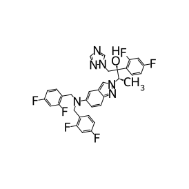 C[C@@H](n1cc2cc(N(Cc3ccc(F)cc3F)Cc3ccc(F)cc3F)ccc2n1)[C@](O)(Cn1cncn1)c1ccc(F)cc1F